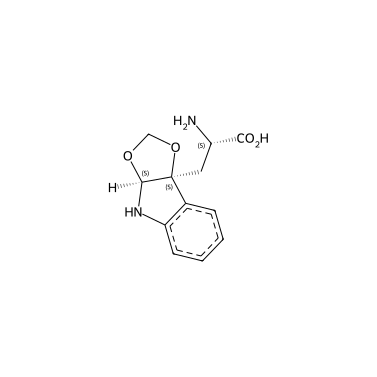 N[C@@H](C[C@@]12OCO[C@@H]1Nc1ccccc12)C(=O)O